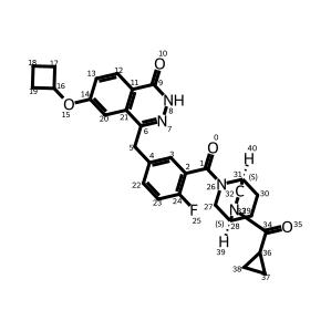 O=C(c1cc(Cc2n[nH]c(=O)c3ccc(OC4CCC4)cc23)ccc1F)N1C[C@@H]2CC[C@H]1CN2C(=O)C1CC1